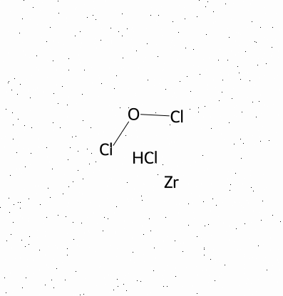 Cl.ClOCl.[Zr]